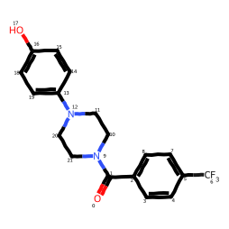 O=C(c1ccc(C(F)(F)F)cc1)N1CCN(c2ccc(O)cc2)CC1